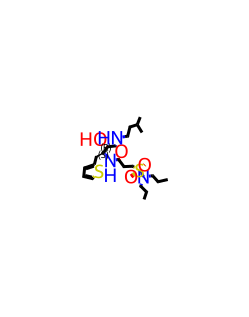 CCCN(CCC)S(=O)(=O)CCC(=O)N[C@@H](Cc1cccs1)[C@H](O)CNCCC(C)C